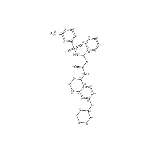 O=C(CC(NS(=O)(=O)c1cccc(C(F)(F)F)c1)c1ccccc1)NC1CCOc2cc(CN3CCCCC3)ccc21